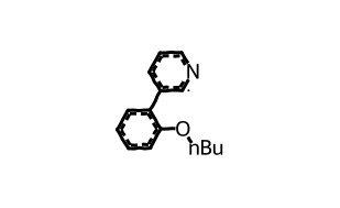 CCCCOc1ccccc1-c1[c]nccc1